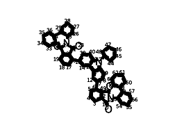 O=C1c2cccc(-c3ccc4c(c3)c3cc(-c5cccc6c5C(=O)N(c5ccccc5-c5ccccc5)C6=O)ccc3n4-c3ccccc3)c2C(=O)N1c1ccccc1-c1ccccc1